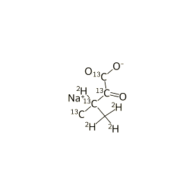 [2H]C([2H])([2H])[13C]([2H])([13CH3])[13C](=O)[13C](=O)[O-].[Na+]